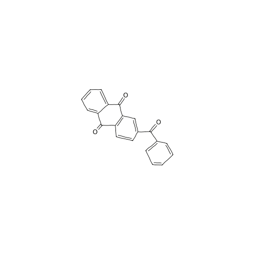 O=C(c1ccccc1)c1ccc2c(c1)C(=O)c1ccccc1C2=O